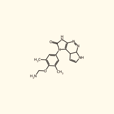 Cc1cc(-n2c3c([nH]c2=O)N=NC2NC=CC32)cc(C)c1OCN